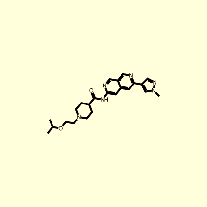 CC(C)OCCN1CCC(C(=O)Nc2cc3cc(-c4cnn(C)c4)ncc3cn2)CC1